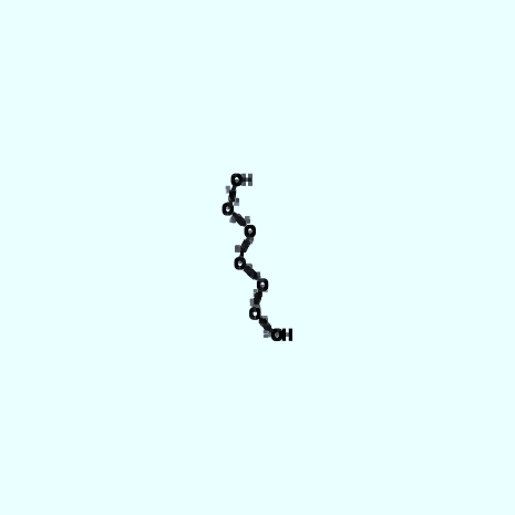 OC#COC#COC#COC#COC#COC#CO